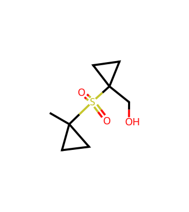 CC1(S(=O)(=O)C2(CO)CC2)CC1